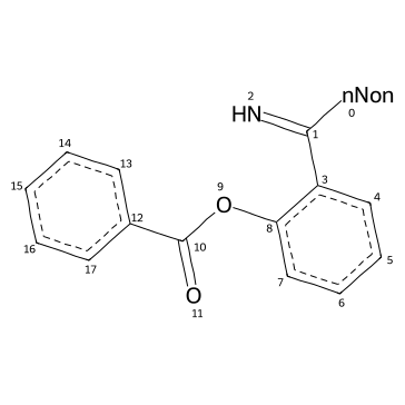 CCCCCCCCCC(=N)c1ccccc1OC(=O)c1ccccc1